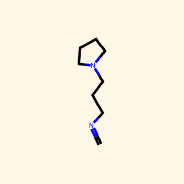 C=NCCCN1CCCC1